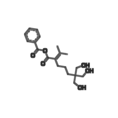 CC(C)=C(CCCC(CO)(CO)CO)C(=O)OC(=O)c1ccccc1